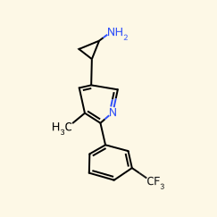 Cc1cc(C2CC2N)cnc1-c1cccc(C(F)(F)F)c1